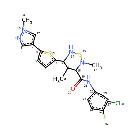 CC1C(c2ccc(-c3cnn(C)c3)s2)NSN(C)C1C(=O)Nc1ccc(F)c(Cl)c1